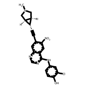 CN1C[C@@H]2[C@@H](C#Cc3cc4ncnc(Nc5ccc(O)c(Cl)c5)c4cc3[N+](=O)[O-])[C@@H]2C1